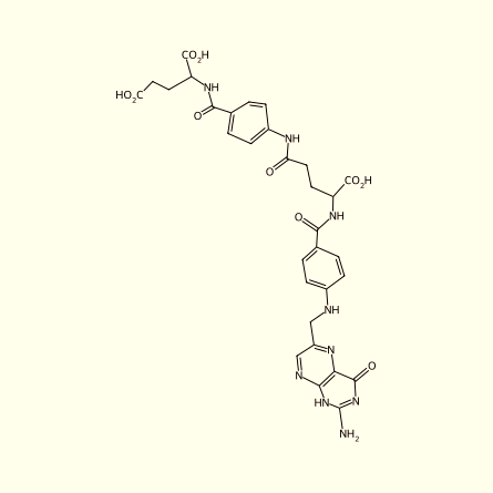 Nc1nc(=O)c2nc(CNc3ccc(C(=O)NC(CCC(=O)Nc4ccc(C(=O)NC(CCC(=O)O)C(=O)O)cc4)C(=O)O)cc3)cnc2[nH]1